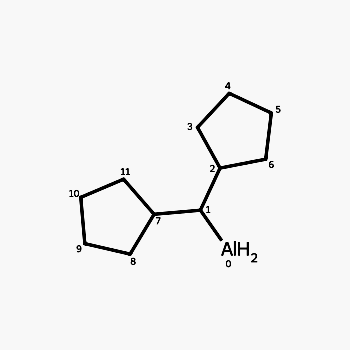 [AlH2][CH](C1CCCC1)C1CCCC1